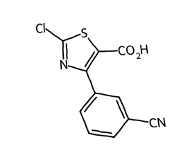 N#Cc1cccc(-c2nc(Cl)sc2C(=O)O)c1